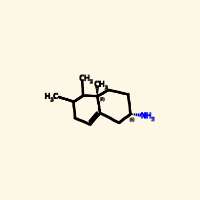 CC1CC=C2C[C@@H](N)CC[C@]2(C)C1C